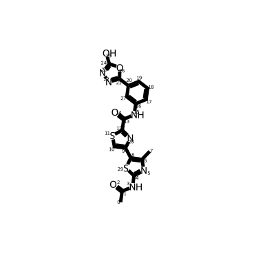 CC(=O)Nc1nc(C)c(-c2csc(C(=O)Nc3cccc(-c4nnc(O)o4)c3)n2)s1